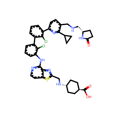 O=C1CC[C@@H](CNCc2ccc(-c3cccc(-c4cccc(Nc5nccc6sc(CN[C@H]7CC[C@H](C(=O)O)CC7)nc56)c4Cl)c3Cl)nc2C2CC2)N1